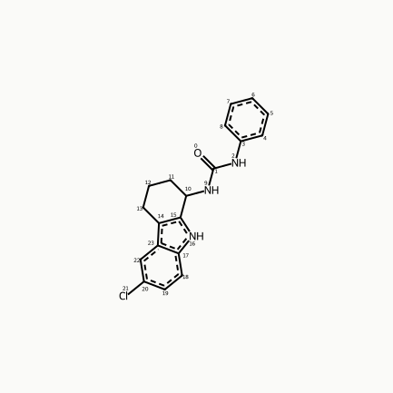 O=C(Nc1ccccc1)NC1CCCc2c1[nH]c1ccc(Cl)cc21